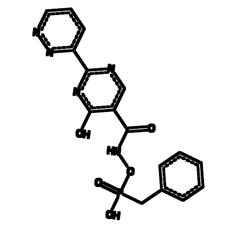 O=C(NOP(=O)(O)Cc1ccccc1)c1cnc(-c2cccnn2)nc1O